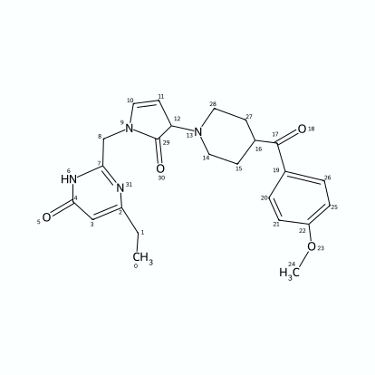 CCc1cc(=O)[nH]c(CN2C=CC(N3CCC(C(=O)c4ccc(OC)cc4)CC3)C2=O)n1